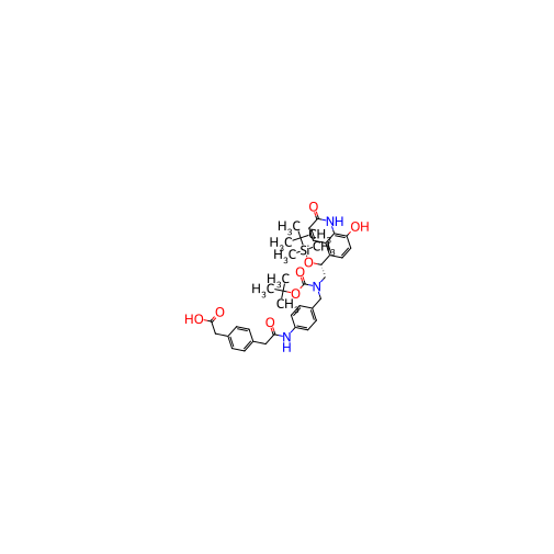 CC(C)(C)OC(=O)N(Cc1ccc(NC(=O)Cc2ccc(CC(=O)O)cc2)cc1)C[C@H](O[Si](C)(C)C(C)(C)C)c1ccc(O)c2[nH]c(=O)ccc12